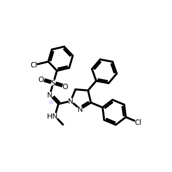 CN/C(=N/S(=O)(=O)c1ccccc1Cl)N1CC(c2ccccc2)C(c2ccc(Cl)cc2)=N1